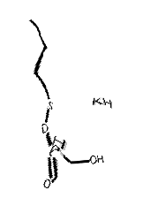 CCCSO[PH](=O)O.[KH]